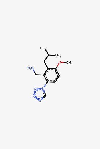 COc1ccc(-n2cnnn2)c(CN)c1CC(C)C